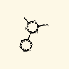 Cc1nc(N)nc(-c2cccnc2)n1